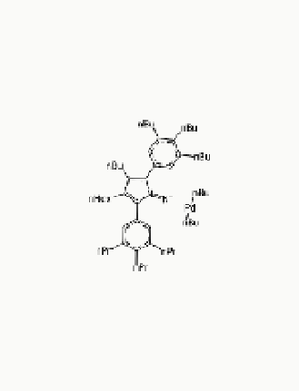 CCCCCCC1=C(c2cc(CCC)c(CCC)c(CCC)c2)[N+](=[N-])C(c2cc(CCCC)c(CCCC)c(CCCC)c2)=C1CCCC.CCC[CH2][Pd][CH2]CCC